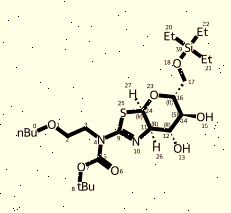 CCCCOCCN(C(=O)OC(C)(C)C)C1=N[C@@H]2[C@@H](O)[C@H](O)[C@@H](CO[Si](CC)(CC)CC)O[C@@H]2S1